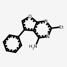 CCc1nc(N)c2c(-c3ccccc3)coc2n1